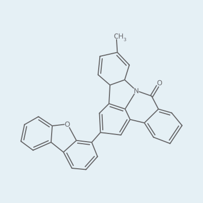 CC1=CC2C(C=C1)c1cc(-c3cccc4c3oc3ccccc34)cc3c4ccccc4c(=O)n2c13